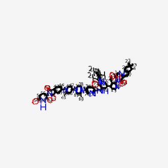 [2H]C([2H])([2H])n1cc(-c2ccnc(N3CCn4c(cc5c4CC(C)(C)C5)C3=O)c2CO)cc(Nc2ccc(N3CCN([C@H]4CCN(c5ccc6c(c5)C(=O)N([C@H]5CCC(=O)NC5=O)C6=O)[C@H](C)C4)C[C@@H]3C)cn2)c1=O